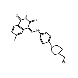 O=C1NC(=O)c2ccc(I)cc2C1=CNc1ccc(N2CCC(CO)CC2)cc1